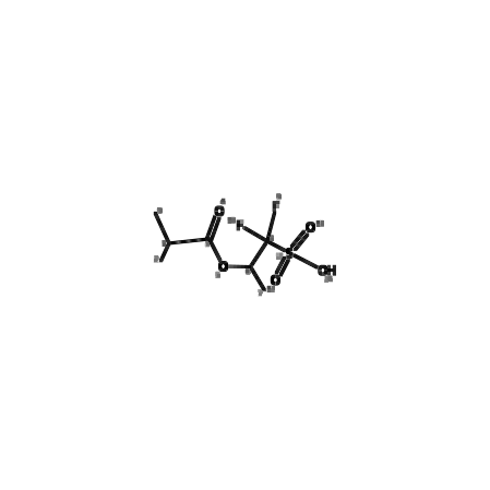 CC(C)C(=O)OC(C)C(F)(F)S(=O)(=O)O